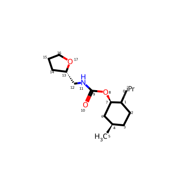 CC(C)C1CC[C@@H](C)C[C@H]1OC(=O)NC[C@@H]1CCCO1